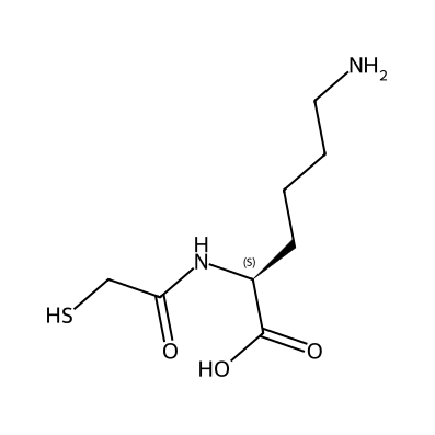 NCCCC[C@H](NC(=O)CS)C(=O)O